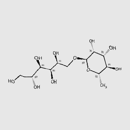 C[C@@H]1O[C@@H](OC[C@H](O)[C@@H](O)[C@H](O)[C@H](O)CO)[C@H](O)[C@H](O)[C@H]1O